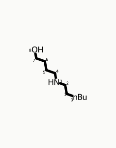 [CH2]CCCCCNCCCCO